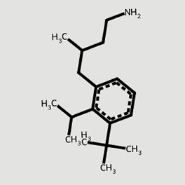 CC(CCN)Cc1cccc(C(C)(C)C)c1C(C)C